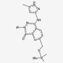 Cc1cc(Nc2nn(C(C)C)c(=O)c3cc(CO[Si](C)(C)C(C)(C)C)ccc23)n[nH]1